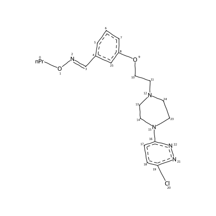 CCCON=Cc1cccc(OCCN2CCN(c3ccc(Cl)nn3)CC2)c1